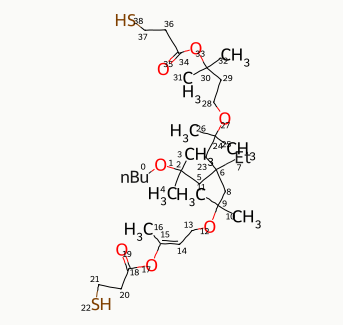 CCCCOC(C)(C)CC(CC)(CC(C)(C)OC/C=C(\C)OC(=O)CCS)CC(C)(C)OCCC(C)(C)OC(=O)CCS